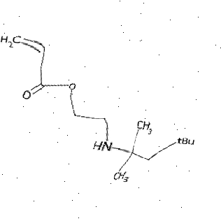 C=CC(=O)OCCNC(C)(C)CC(C)(C)C